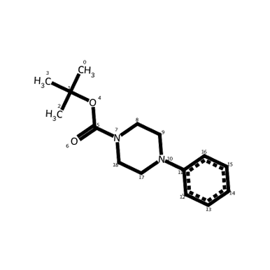 CC(C)(C)OC(=O)N1CCN(c2[c]cccc2)CC1